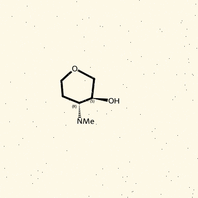 CN[C@@H]1CCOC[C@H]1O